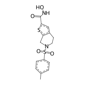 Cc1ccc(S(=O)(=O)N2CCc3cc(C(=O)NO)sc3C2)cc1